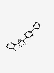 Cc1ccccc1-c1nc(-c2ccc(-c3ccccc3)cc2)no1